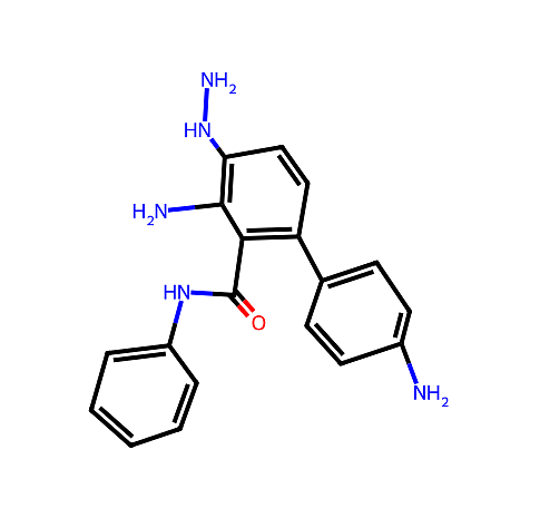 NNc1ccc(-c2ccc(N)cc2)c(C(=O)Nc2ccccc2)c1N